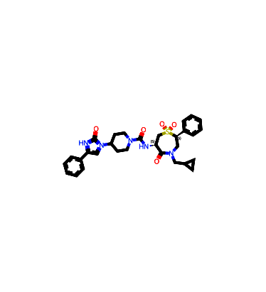 O=C(N[C@@H]1CS(=O)(=O)[C@@H](c2ccccc2)CN(CC2CC2)C1=O)N1CCC(n2cc(-c3ccccc3)[nH]c2=O)CC1